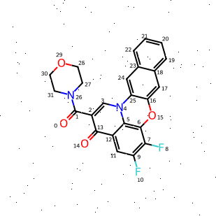 O=C(c1cn2c3c(c(F)c(F)cc3c1=O)Oc1cc3ccccc3cc1-2)N1CCOCC1